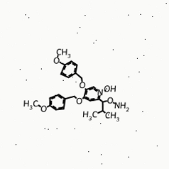 COc1ccc(COc2cc(C(ON)C(C)C)[n+](O)cc2OCc2ccc(OC)cc2)cc1